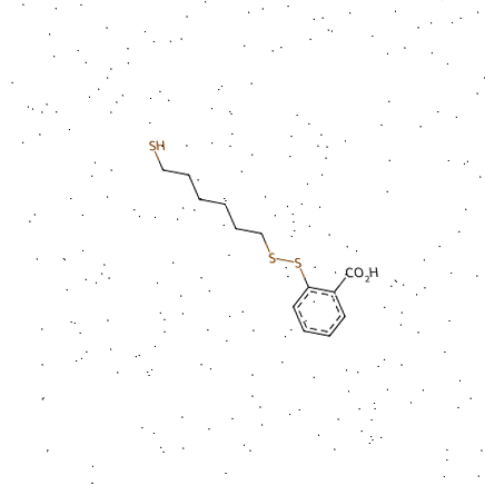 O=C(O)c1ccccc1SSCCCCCCS